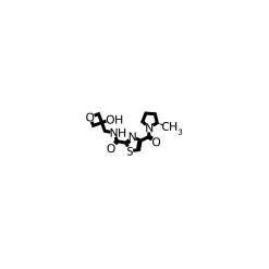 C[C@H]1CCCN1C(=O)c1csc(C(=O)NCC2(O)COC2)n1